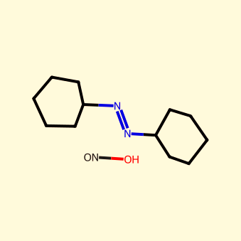 C1CCC(/N=N/C2CCCCC2)CC1.O=NO